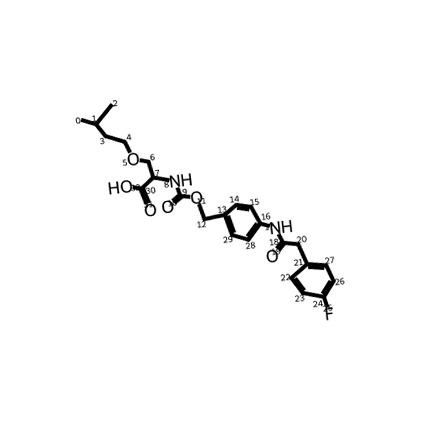 CC(C)CCOCC(NC(=O)OCc1ccc(NC(=O)Cc2ccc(F)cc2)cc1)C(=O)O